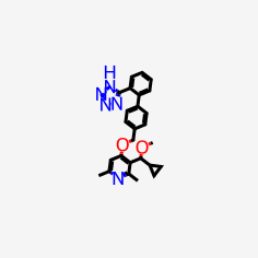 COC(c1c(OCc2ccc(-c3ccccc3-c3nnn[nH]3)cc2)cc(C)nc1C)C1CC1